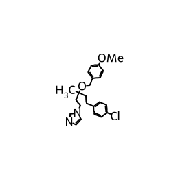 COc1ccc(COC(C)(CCc2ccc(Cl)cc2)CCn2ccnc2)cc1